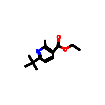 CCOC(=O)c1ccc(C(C)(C)C)nc1C